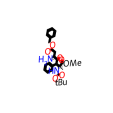 COC(=O)[C@@](C)(NC(=O)OC(C)(C)C)C(C(=O)[C@@H](N)CC(=O)OCc1ccccc1)c1ccccc1